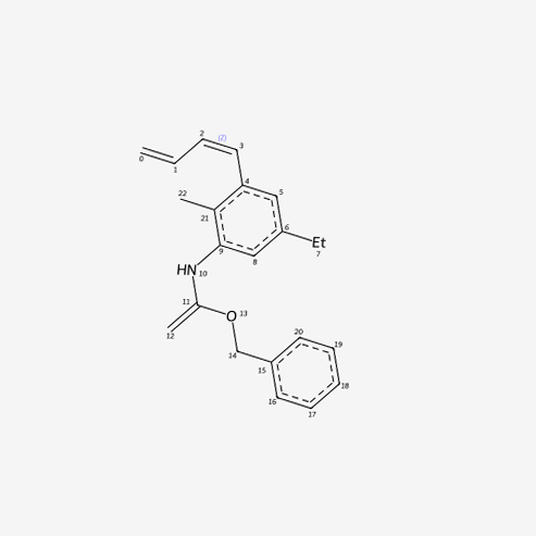 C=C/C=C\c1cc(CC)cc(NC(=C)OCc2ccccc2)c1C